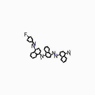 CN(C)c1ccc(/N=N/c2ccc(N(C)c3ccc(/N=N/c4ccc(F)cc4)c4ccccc34)c3ccccc23)c2ccccc12